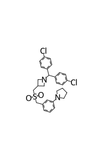 O=S(=O)(Cc1cccc(N2CCCC2)c1)CC1CN(C(c2ccc(Cl)cc2)c2ccc(Cl)cc2)C1